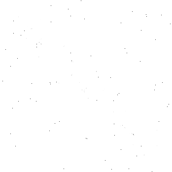 CCC1c2ccc(C(=O)Nc3ccc(C=NN4CCCCC4)cc3)cc2CCN1CC(=O)O